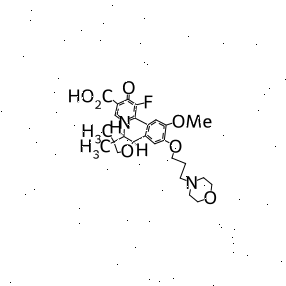 COc1cc2c(cc1OCCCN1CCOCC1)[C@H]1OCC(C)(C)[C@H]1n1cc(C(=O)O)c(=O)c(F)c1-2